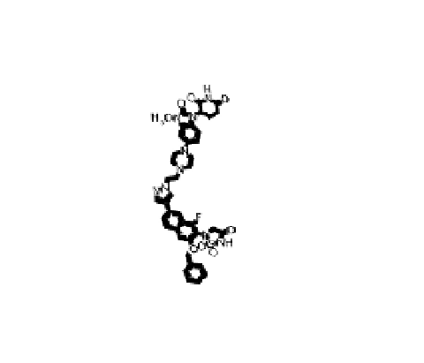 Cn1c(=O)n(C2CCC(=O)NC2=O)c2ccc(N3CCN(CCn4cc(-c5ccc6cc(OCc7ccccc7)c(N7CC(=O)NS7(=O)=O)c(F)c6c5)cn4)CC3)cc21